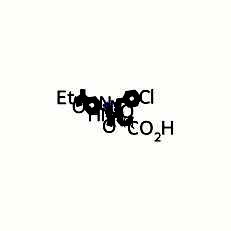 CCc1oc2ccc(/N=c3\[nH]c(=O)n(C[C@H](C)C(=O)O)c(=O)n3Cc3ccc(Cl)cc3)cc2c1C